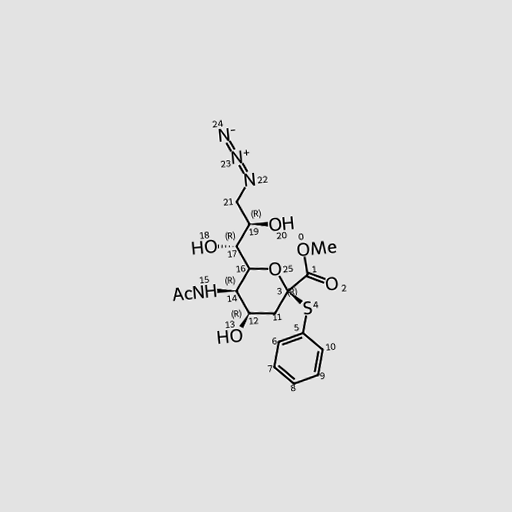 COC(=O)[C@]1(Sc2ccccc2)C[C@@H](O)[C@@H](NC(C)=O)C([C@H](O)[C@H](O)CN=[N+]=[N-])O1